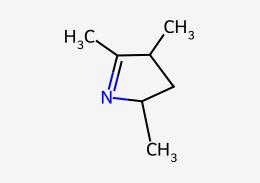 CC1=NC(C)CC1C